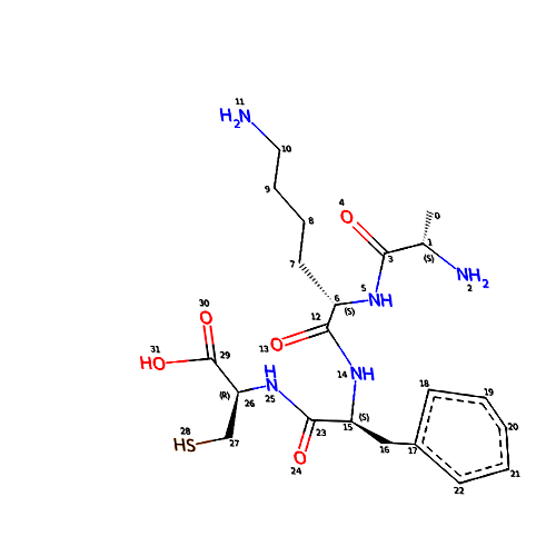 C[C@H](N)C(=O)N[C@@H](CCCCN)C(=O)N[C@@H](Cc1ccccc1)C(=O)N[C@@H](CS)C(=O)O